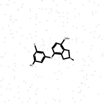 CSc1ccc(Oc2cc(F)cc(C#N)c2)c2c1C[C@@H](C)C2